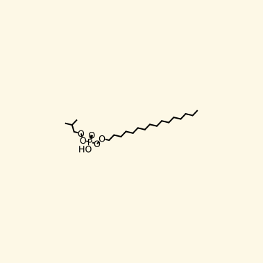 CCCCCCCCCCCCCCCCOOP(=O)(O)OOCC(C)C